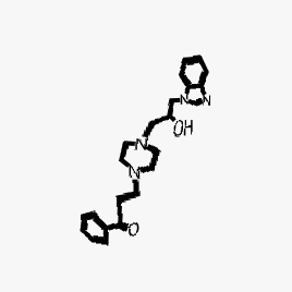 O=C(CCN1CCN(CC(O)Cn2cnc3ccccc32)CC1)c1ccccc1